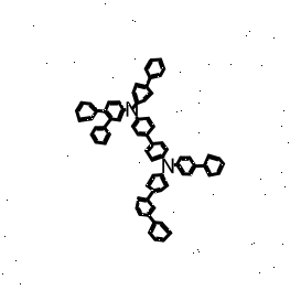 c1ccc(-c2ccc(N(c3ccc(-c4ccc(N(c5ccc(-c6ccccc6)cc5)c5ccc(-c6ccccc6)c(-c6ccccc6)c5)cc4)cc3)c3ccc(-c4cccc(-c5ccccc5)c4)cc3)cc2)cc1